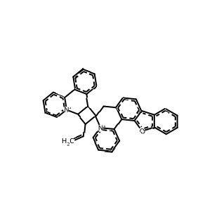 C=CC1C2C(c3ccccc3-c3cccc[n+]32)C12Cc1ccc3c(oc4ccccc43)c1-c1cccc[n+]12